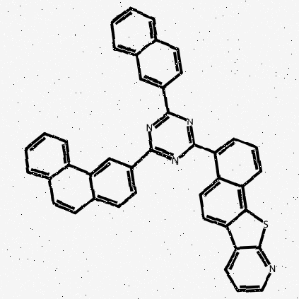 c1ccc2cc(-c3nc(-c4ccc5ccc6ccccc6c5c4)nc(-c4cccc5c4ccc4c6cccnc6sc54)n3)ccc2c1